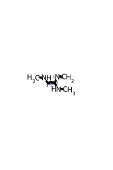 C=N/C(=C\NC)NC